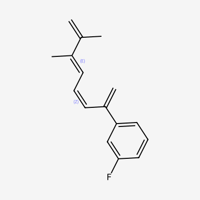 C=C(C)/C(C)=C/C=C\C(=C)c1cccc(F)c1